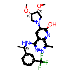 CO[C@H]1CN(c2cc3c(N[C@H](C)c4cccc(C(F)(F)F)c4)nnc(C)c3nc2O)C[C@H]1OC